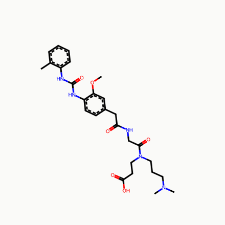 COc1cc(CC(=O)NCC(=O)N(CCCN(C)C)CCC(=O)O)ccc1NC(=O)Nc1ccccc1C